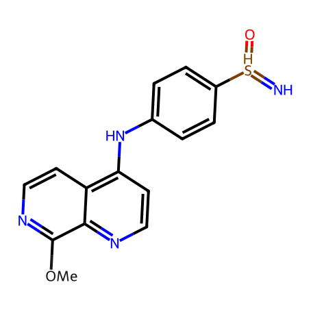 COc1nccc2c(Nc3ccc([SH](=N)=O)cc3)ccnc12